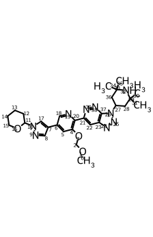 COCOc1cc(-c2cnn(C3CCCCO3)c2)cnc1-c1cc2nnn(C3CC(C)(C)NC(C)(C)C3)c2nn1